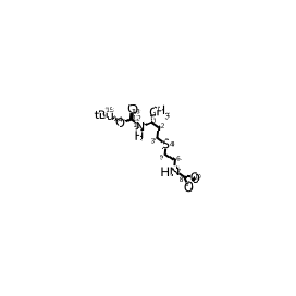 C[C@H](CCSCCNC1OO1)NC(=O)OC(C)(C)C